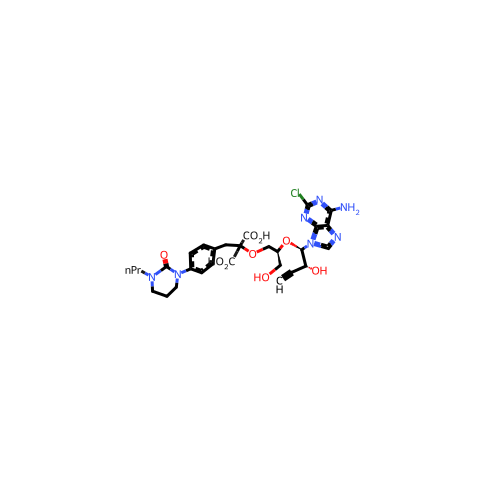 C#C[C@@H](O)[C@@H](O[C@@H](CO)COC(Cc1ccc(N2CCCN(CCC)C2=O)cc1)(C(=O)O)C(=O)O)n1cnc2c(N)nc(Cl)nc21